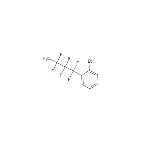 C[CH]c1ccccc1C(F)(F)C(F)(F)C(F)(F)C(F)(F)F